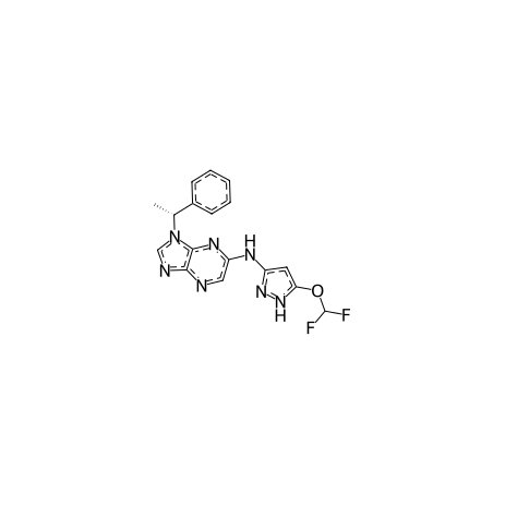 C[C@H](c1ccccc1)n1cnc2ncc(Nc3cc(OC(F)F)[nH]n3)nc21